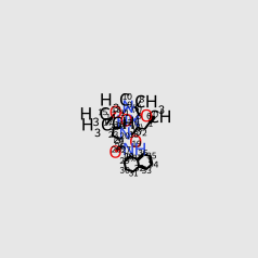 C#CC[C@H](NC(=O)[C@H](C)N(C)C(=O)OC(C)(C)C)C(=O)N1CCC[C@H]1C(=O)N[C@@H]1CCCc2ccccc21